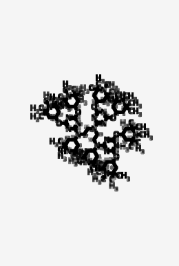 CN1C(C)(C)CC(Oc2nc(OC3CC(C)(C)N(C)C(C)(C)C3)nc(N(CCN(c3nc(OC4CC(C)(C)N(C)C(C)(C)C4)nc(OC4CC(C)(C)N(C)C(C)(C)C4)n3)C3CC(C)(C)NC(C)(C)C3)CCN(c3nc(OC4CC(C)(C)N(C)C(C)(C)C4)nc(OC4CC(C)(C)N(C)C(C)(C)C4)n3)C3CC(C)(C)NC(C)(C)C3)n2)CC1(C)C